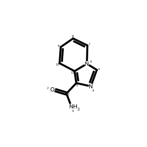 NC(=O)c1ncn2ccccc12